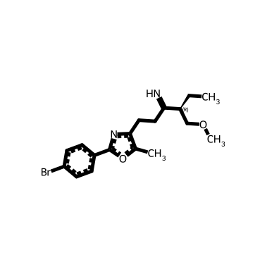 CC[C@@H](COC)C(=N)CCc1nc(-c2ccc(Br)cc2)oc1C